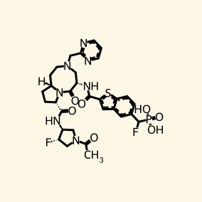 CC(=O)N1C[C@H](NC(=O)[C@@H]2CC[C@@H]3CCN(Cc4ncccn4)C[C@H](NC(=O)c4cc5cc(C(F)P(=O)(O)O)ccc5s4)C(=O)N32)[C@@H](F)C1